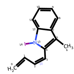 C=C/C=C\c1c(C)c2ccccc2n1I